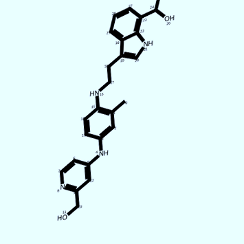 Cc1cc(Nc2ccnc(CO)c2)ccc1NCCc1c[nH]c2c(C(C)O)cccc12